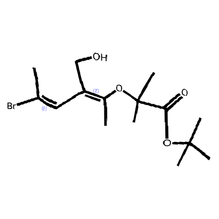 C/C(OC(C)(C)C(=O)OC(C)(C)C)=C(\C=C(/C)Br)CO